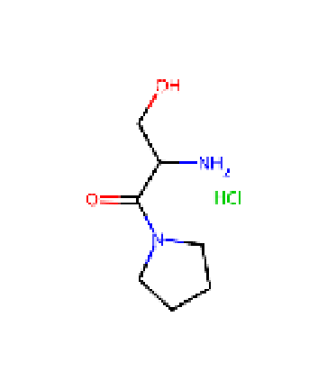 Cl.NC(CO)C(=O)N1CCCC1